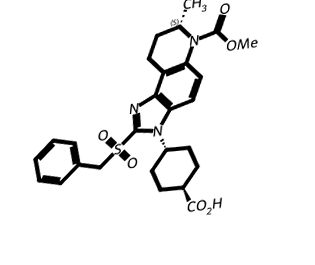 COC(=O)N1c2ccc3c(nc(S(=O)(=O)Cc4ccccc4)n3[C@H]3CC[C@H](C(=O)O)CC3)c2CC[C@@H]1C